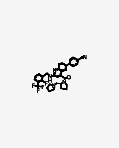 N#Cc1ccc(-c2ccc3nc(NCc4cccc(C(F)(F)F)c4F)cc(C(=O)N4CCC[C@H]4CN4CCCC4)c3c2)cc1